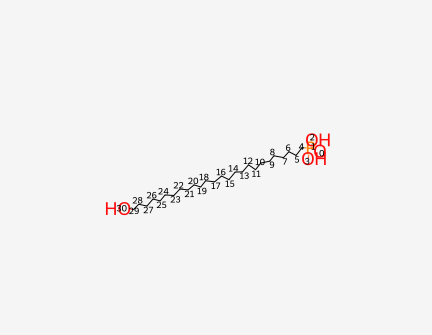 O=P(O)(O)CCCCCCCCCCCCCCCCCCCCCCCCCCO